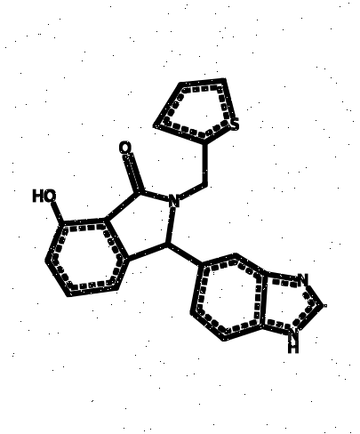 O=C1c2c(O)cccc2C(c2ccc3[nH][c]nc3c2)N1Cc1cccs1